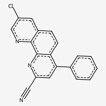 N#Cc1cc(-c2ccccc2)c2ccc3cc(Cl)cnc3c2n1